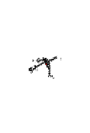 CCCSCCCO[C@@H]1CC[C@@]2(C)C(C1)C[C@@H](OCCCSCCC)C1C2C[C@H](OCCCSCCNC(=O)CCCN2C(=O)C=CC2=O)[C@@]2(C)C1CCC2[C@H](C)CCCC(=O)OC